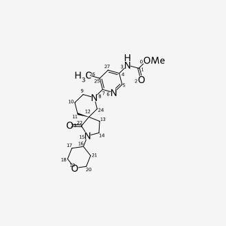 COC(=O)Nc1cnc(N2CCC[C@]3(CCN(C4CCOCC4)C3=O)C2)c(C)c1